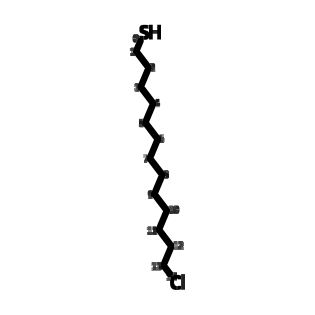 SCCCCCCCCCCCCCCl